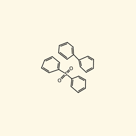 O=S(=O)(c1ccccc1)c1ccccc1.c1ccc(-c2ccccc2)cc1